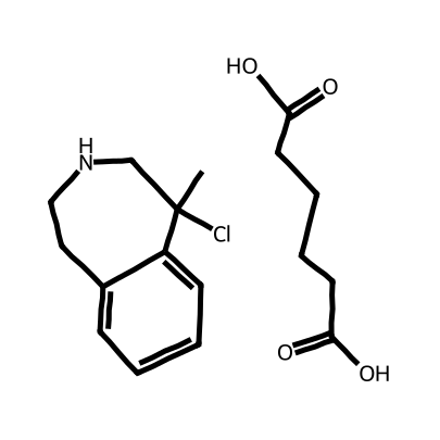 CC1(Cl)CNCCc2ccccc21.O=C(O)CCCCC(=O)O